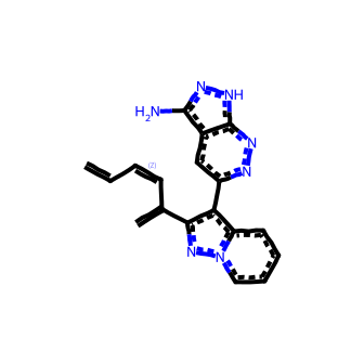 C=C/C=C\C(=C)c1nn2ccccc2c1-c1cc2c(N)n[nH]c2nn1